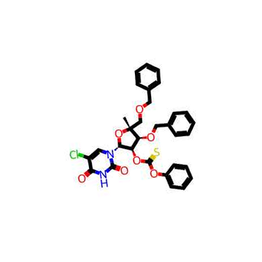 C[C@]1(COCc2ccccc2)O[C@@H](n2cc(Cl)c(=O)[nH]c2=O)[C@H](OC(=S)Oc2ccccc2)[C@@H]1OCc1ccccc1